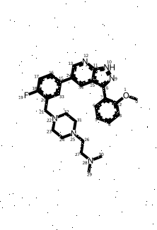 COc1ccccc1-c1n[nH]c2ncc(-c3ccc(F)c(CN4CCN(CCN(C)C)CC4)c3)cc12